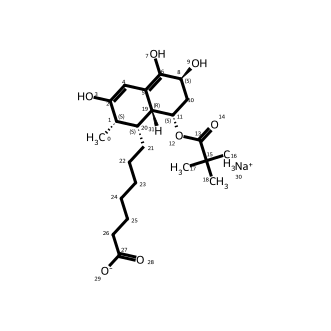 C[C@@H]1C(O)=CC2=C(O)[C@@H](O)C[C@H](OC(=O)C(C)(C)C)[C@@H]2[C@@H]1CCCCCCC(=O)[O-].[Na+]